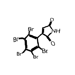 O=C1C=C(c2c(Br)c(Br)c(Br)c(Br)c2Br)C(=O)N1